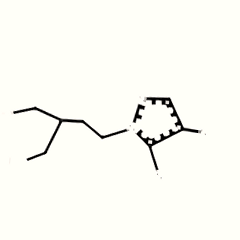 Nc1cnn(CCC(CO)CO)c1N